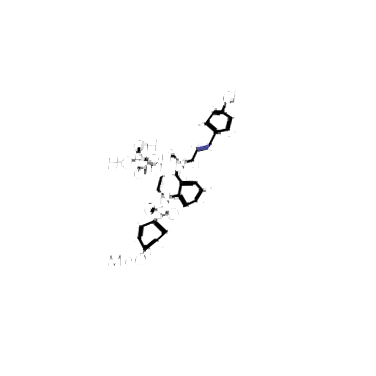 COc1ccc(S(=O)(=O)N(CCO)c2ccccc2CN(C)C/C=C/c2ccc(Cl)cc2)cc1.O=P(O)(O)O